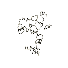 CC1CCC2(Cc3nc(OC[C@@]45CCCN4C[C@H](F)C5)nc(N4CCCn5nc(C(=O)N(C)C)cc5C4)c3CO2)c2cc(N)ccc21.Cl